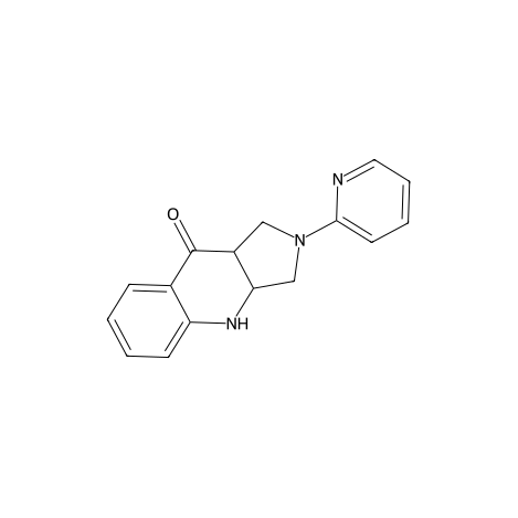 O=C1c2ccccc2NC2CN(c3ccccn3)CC12